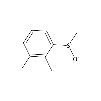 Cc1cccc([S+](C)[O-])c1C